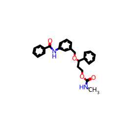 CNC(=O)OCCC(OCc1cccc(NC(=O)c2ccccc2)c1)c1ccccc1